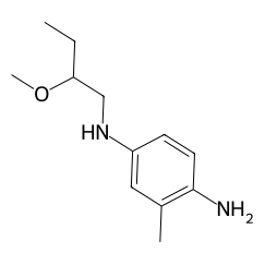 CCC(CNc1ccc(N)c(C)c1)OC